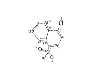 CS(=O)(=O)c1ccc(Cl)c2ncccc12